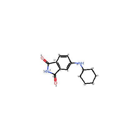 O=C1NC(=O)c2cc(NC3CCCCC3)ccc21